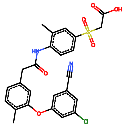 Cc1cc(S(=O)(=O)CC(=O)O)ccc1NC(=O)Cc1ccc(C)c(Oc2cc(Cl)cc(C#N)c2)c1